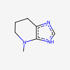 CN1CCCc2nc[nH]c21